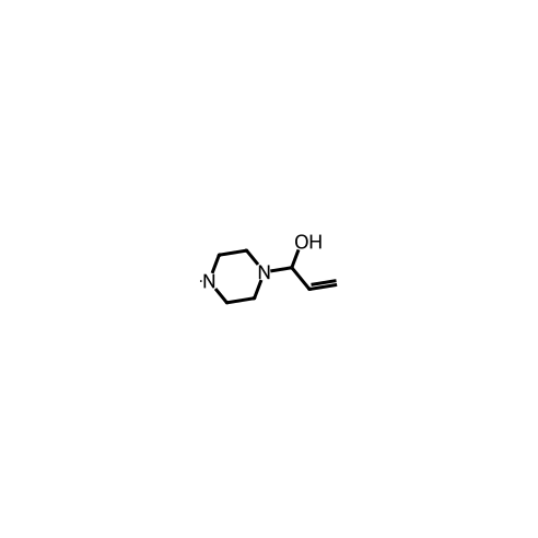 C=CC(O)N1CC[N]CC1